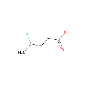 CC(F)CCC([O])=O